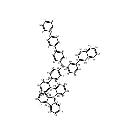 c1ccc(-c2ccc(-c3ccc(N(c4ccc(-c5ccccc5-c5ccccc5-n5c6ccccc6c6ccccc65)cc4)c4cccc(-c5ccc6ccccc6c5)c4)cc3)cc2)cc1